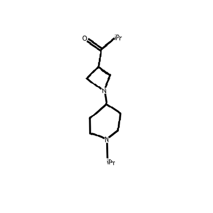 CC(C)C(=O)C1CN(C2CCN(C(C)C)CC2)C1